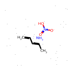 C=CC=CC.N.O=[N+]([O-])O